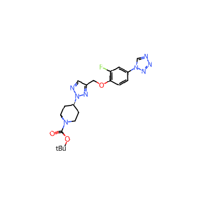 CC(C)(C)OC(=O)N1CCC(n2ncc(COc3ccc(-n4cnnn4)cc3F)n2)CC1